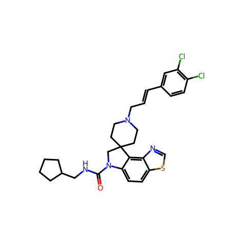 O=C(NCC1CCCC1)N1CC2(CCN(CC=Cc3ccc(Cl)c(Cl)c3)CC2)c2c1ccc1scnc21